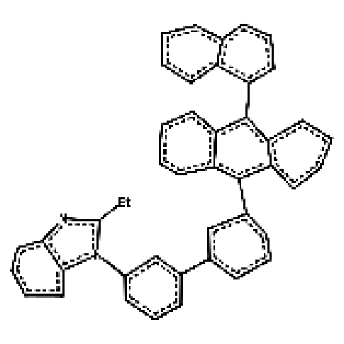 CCc1nc2ccccc2n1-c1cccc(-c2cccc(-c3c4ccccc4c(-c4cccc5ccccc45)c4ccccc34)c2)c1